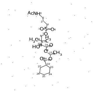 CC(=O)NCCCS(=O)(=O)OCC(C)(C)[C@@H](O)C(=O)OC(C)OC(=O)C1CCCCC1